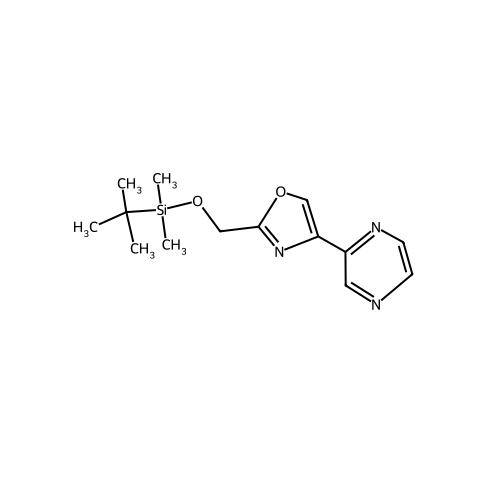 CC(C)(C)[Si](C)(C)OCc1nc(-c2cnccn2)co1